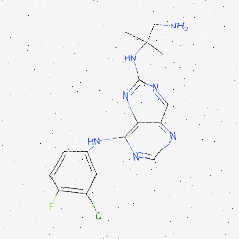 CC(C)(CN)Nc1ncc2ncnc(Nc3ccc(F)c(Cl)c3)c2n1